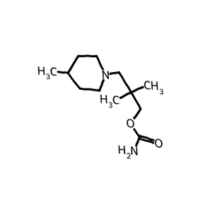 CC1CCN(CC(C)(C)COC(N)=O)CC1